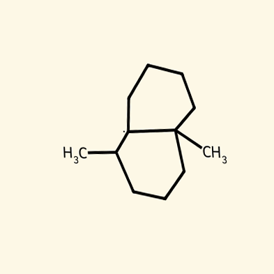 CC1CCCC2(C)CCCC[C]12